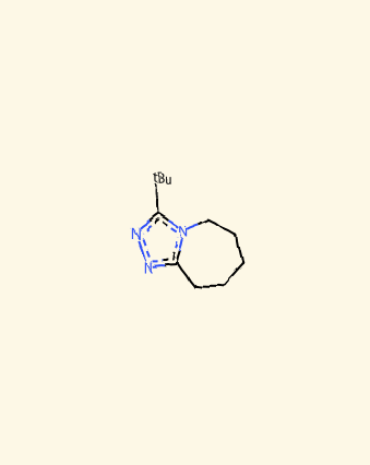 CC(C)(C)c1nnc2n1CCCCC2